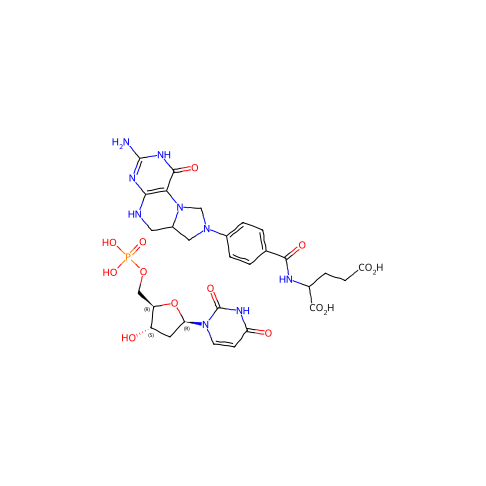 Nc1nc2c(c(=O)[nH]1)N1CN(c3ccc(C(=O)NC(CCC(=O)O)C(=O)O)cc3)CC1CN2.O=c1ccn([C@H]2C[C@H](O)[C@@H](COP(=O)(O)O)O2)c(=O)[nH]1